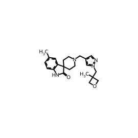 Cc1ccc2c(c1)C1(CCN(Cc3cnn(CC4(C)COC4)c3)CC1)C(=O)N2